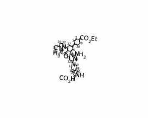 CCOC(=O)c1ccc(-c2ccc(C(Oc3cc(N4CCC5(CC4)CNC(C(=O)O)C5)nc(N)n3)C(F)(F)F)c(-n3ccc(C)n3)c2)cc1